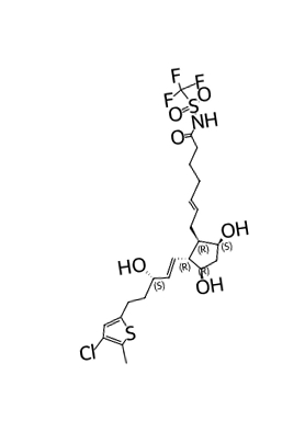 Cc1sc(CC[C@H](O)C=C[C@@H]2[C@@H](CC=CCCCC(=O)NS(=O)(=O)C(F)(F)F)[C@@H](O)C[C@H]2O)cc1Cl